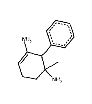 CC1(N)CCC=C(N)C1c1ccccc1